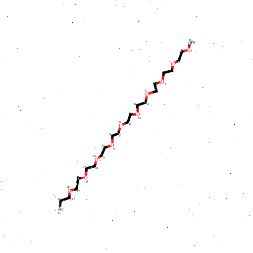 CCCOCCOCCOCCOCCOCCOCCOCCOCCOCCOCCC(C)=O